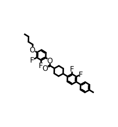 CCCCOc1ccc(OC(=O)C2CCC(c3ccc(-c4ccc(C)cc4)c(F)c3F)CC2)c(F)c1F